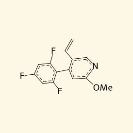 C=Cc1cnc(OC)cc1-c1c(F)cc(F)cc1F